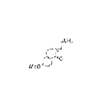 C=CCN1CCc2cc(OC)ccc2C1=O